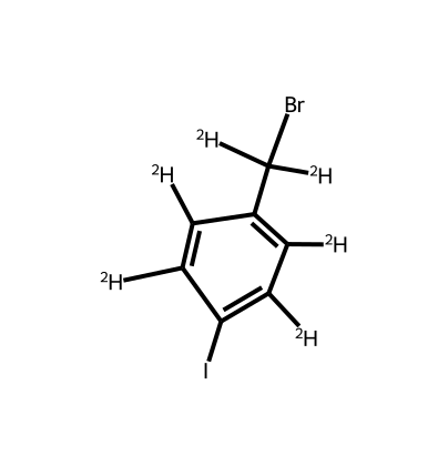 [2H]c1c([2H])c(C([2H])([2H])Br)c([2H])c([2H])c1I